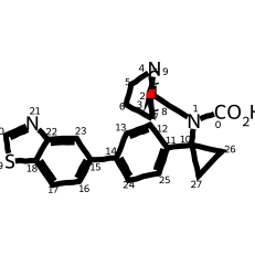 O=C(O)N(C1CN2CCC1CC2)C1(c2ccc(-c3ccc4scnc4c3)cc2)CC1